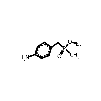 CCOP(C)(=O)Cc1ccc(N)cc1